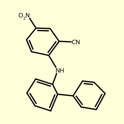 N#Cc1cc([N+](=O)[O-])ccc1Nc1ccccc1-c1ccccc1